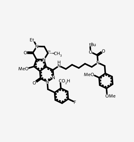 CCN1C[C@H](C)n2c(c(OC)c3c(=O)n(Cc4ccc(F)cc4C(=O)O)nc(NCCCCCN(Cc4ccc(OC)cc4OC)C(=O)OC(C)(C)C)c32)C1=O